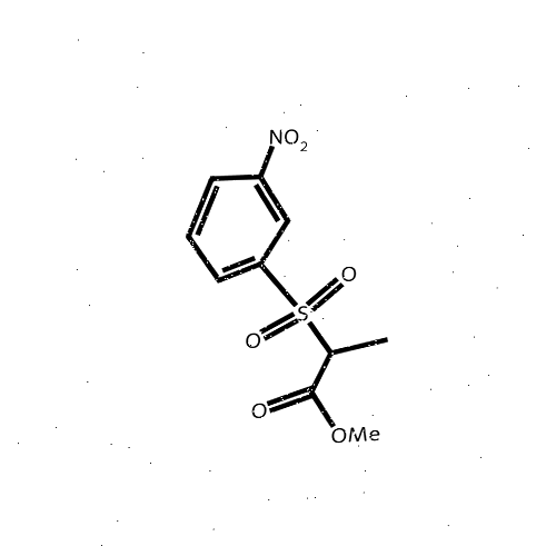 COC(=O)C(C)S(=O)(=O)c1cccc([N+](=O)[O-])c1